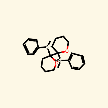 C[SiH](c1ccccc1)C1(C2([SiH](C)c3ccccc3)CCCCO2)CCCCO1